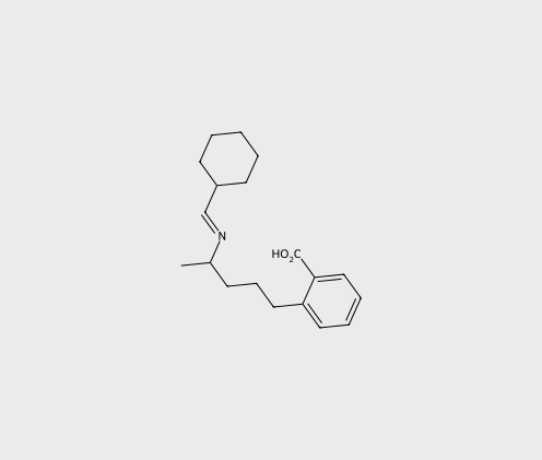 CC(CCCc1ccccc1C(=O)O)N=CC1CCCCC1